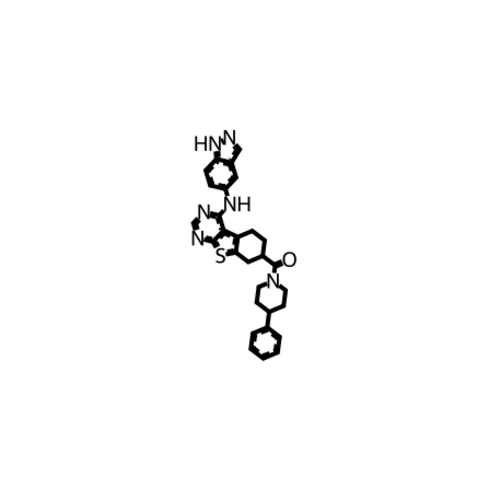 O=C(C1CCc2c(sc3ncnc(Nc4ccc5[nH]ncc5c4)c23)C1)N1CCC(c2ccccc2)CC1